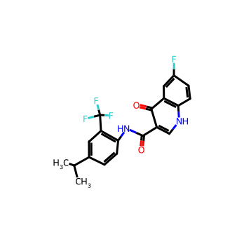 CC(C)c1ccc(NC(=O)c2c[nH]c3ccc(F)cc3c2=O)c(C(F)(F)F)c1